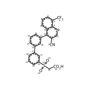 N#Cc1cnc2c(C(F)(F)F)cccc2c1-c1cccc(-c2cccc(S(=O)(=O)CC(=O)O)c2)c1